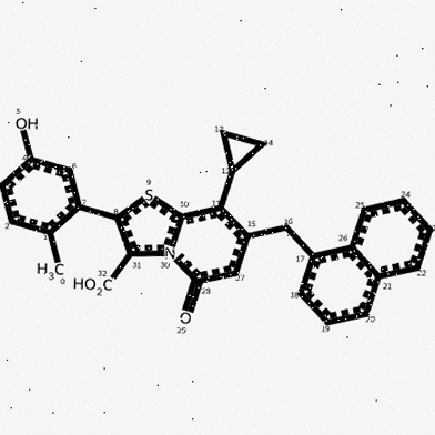 Cc1ccc(O)cc1-c1sc2c(C3CC3)c(Cc3cccc4ccccc34)cc(=O)n2c1C(=O)O